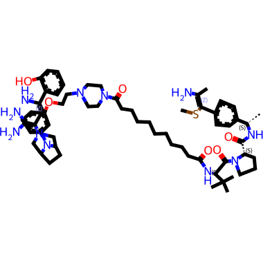 CS/C(=C(/C)N)c1ccc([C@H](C)NC(=O)[C@@H]2CCCN2C(=O)[C@@H](NC(=O)CCCCCCCCCC(=O)N2CCN(CCOc3cccc(N4C5CCC4CN(C(/C=C(\N)c4ccccc4O)=C(N)N)C5)c3)CC2)C(C)(C)C)cc1